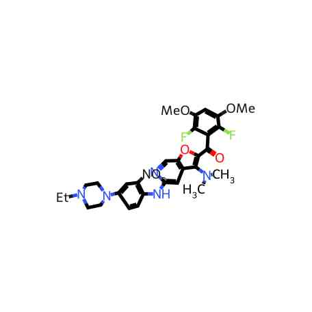 CCN1CCN(c2ccc(Nc3cc4c(N(C)C)c(C(=O)c5c(F)c(OC)cc(OC)c5F)oc4cn3)c([N+](=O)[O-])c2)CC1